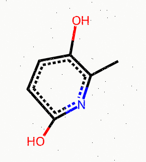 Cc1nc(O)ccc1O